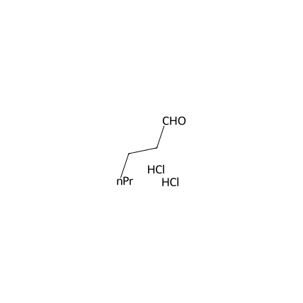 CCCCCC=O.Cl.Cl